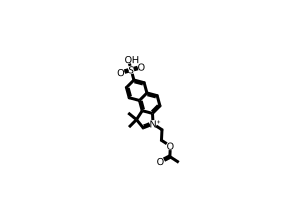 CC(=O)OCC[N+]1=CC(C)(C)c2c1ccc1cc(S(=O)(=O)O)ccc21